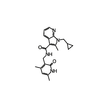 Cc1cc(C)c(CNC(=O)c2c(C)n(CC3CC3)c3ncccc23)c(=O)[nH]1